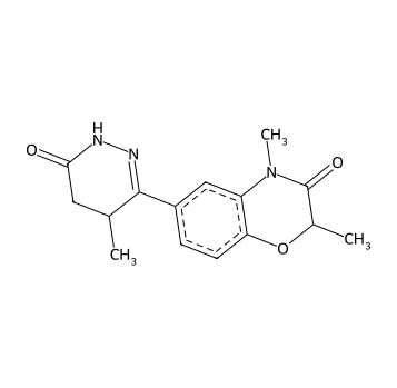 CC1CC(=O)NN=C1c1ccc2c(c1)N(C)C(=O)C(C)O2